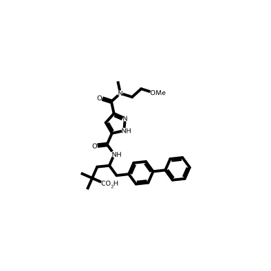 COCCN(C)C(=O)c1cc(C(=O)NC(Cc2ccc(-c3ccccc3)cc2)CC(C)(C)C(=O)O)[nH]n1